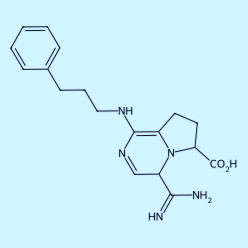 N=C(N)C1C=NC(NCCCc2ccccc2)=C2CCC(C(=O)O)N21